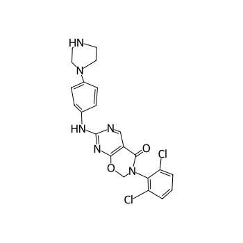 O=C1c2cnc(Nc3ccc(N4CCNCC4)cc3)nc2OCN1c1c(Cl)cccc1Cl